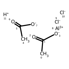 CC(=O)[O-].CC(=O)[O-].[Al+3].[Cl-].[Cl-].[H+]